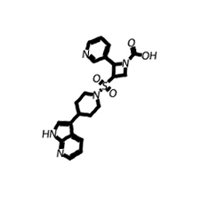 O=C(O)N1CC(S(=O)(=O)N2CCC(c3c[nH]c4ncccc34)CC2)C1c1cccnc1